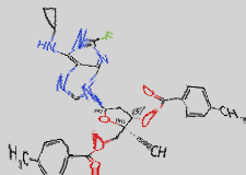 C#C[C@]1(COC(=O)c2ccc(C)cc2)O[C@@H](n2cnc3c(NC4CC4)nc(F)nc32)C[C@@H]1OC(=O)c1ccc(C)cc1